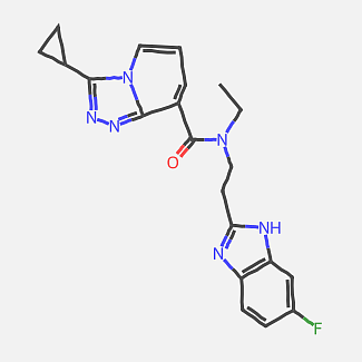 CCN(CCc1nc2ccc(F)cc2[nH]1)C(=O)c1cccn2c(C3CC3)nnc12